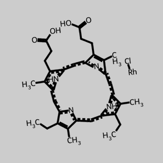 CCC1=C(C)c2cc3[nH]c(cc4nc(cc5[nH]c(cc1n2)c(C)c5CCC(=O)O)C(CCC(=O)O)=C4C)c(C)c3CC.[Cl][Rh]